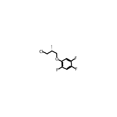 C[C@@H](CCl)COc1cc(F)c(F)cc1F